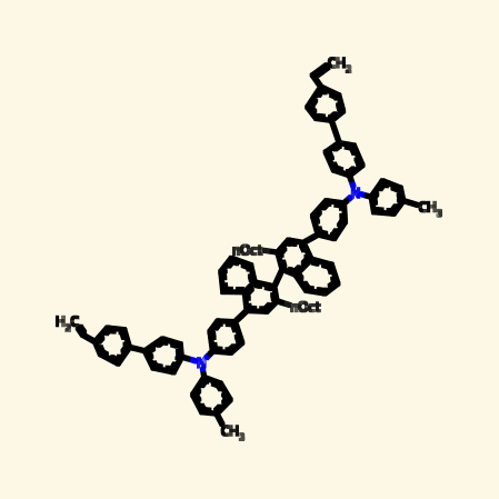 C=Cc1ccc(-c2ccc(N(c3ccc(C)cc3)c3ccc(-c4cc(CCCCCCCC)c(-c5c(CCCCCCCC)cc(-c6ccc(N(c7ccc(C)cc7)c7ccc(-c8ccc(C=C)cc8)cc7)cc6)c6ccccc56)c5ccccc45)cc3)cc2)cc1